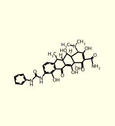 C[C@@H]1c2ccc(NC(=O)Nc3ccccc3)c(O)c2C(=O)C2=C(O)[C@]3(O)C(=O)C(C(N)=O)=C(O)[C@H](N(C)C)[C@@H]3[C@H](O)[C@H]21